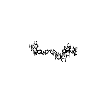 Cn1nc(C2CCC(=O)NC2=O)c2ccc(CN3CCC(CN4CCN(c5ncc(Cl)c(Nc6ccc7c(c6)c6c(c(=O)n7C)OCC(F)(F)C(C7CC7)N6)n5)CC4)CC3)cc21